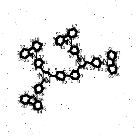 c1cc(-c2ccc(-c3cc(-c4ccc(-n5c6ccccc6c6ccccc65)cc4)nc(-c4ccc(-n5c6ccccc6c6ccccc65)cc4)n3)cc2)cc(-c2cc(-c3ccc(-n4c5ccccc5c5ccccc54)cc3)nc(-c3ccc(-n4c5ccccc5c5ccccc54)cc3)n2)c1